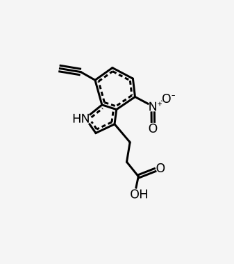 C#Cc1ccc([N+](=O)[O-])c2c(CCC(=O)O)c[nH]c12